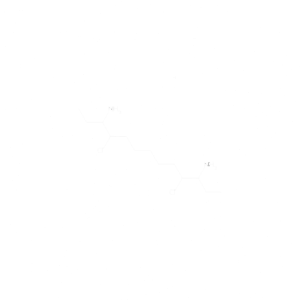 CCC(N)C(Cl)CCCCCC(Cl)C(N)CC